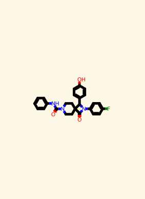 O=C(Nc1ccccc1)N1CCC2(CC1)C(=O)N(c1ccc(F)cc1)C2c1ccc(O)cc1